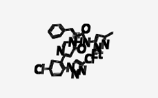 CCn1nc(C)cc1NC(=O)[C@H](Cc1ccccc1)n1cnc(-c2cc(Cl)ccc2-n2cc(Cl)nn2)cc1=O